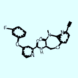 C#Cc1ccc2c(n1)N(C)C(=O)C(NC(=O)c1cc(Oc3cccc(F)c3)ccn1)CO2